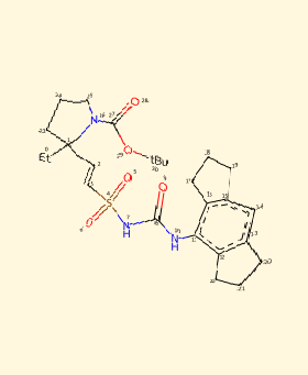 CCC1(C=CS(=O)(=O)NC(=O)Nc2c3c(cc4c2CCC4)CCC3)CCCN1C(=O)OC(C)(C)C